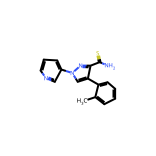 Cc1ccccc1-c1cn(-c2cccnc2)nc1C(N)=S